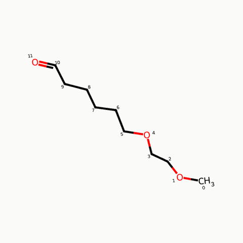 COCCOCCCCCC=O